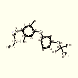 CCCN/C=N\c1cc(C)c(Sc2cccc(OC(F)(F)C(F)(F)F)c2)cc1C